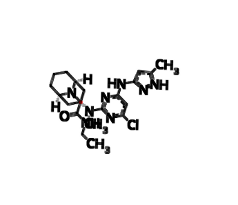 CCNC(=O)CN1[C@@H]2CCC[C@H]1C[C@H](N(C)c1nc(Cl)cc(Nc3cc(C)[nH]n3)n1)C2